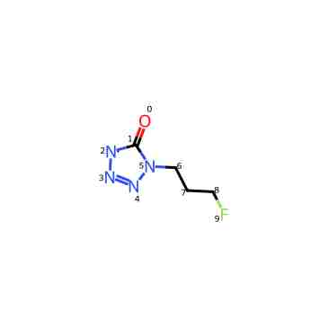 O=C1[N]N=NN1CCCF